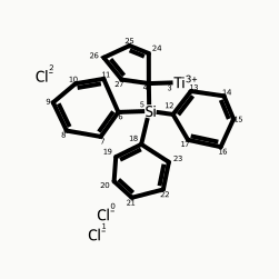 [Cl-].[Cl-].[Cl-].[Ti+3][C]1([Si](c2ccccc2)(c2ccccc2)c2ccccc2)C=CC=C1